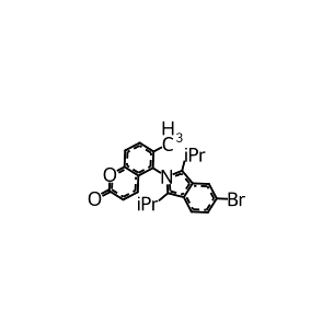 Cc1ccc2oc(=O)ccc2c1-n1c(C(C)C)c2ccc(Br)cc2c1C(C)C